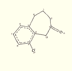 O=C1CCCc2cccc(Cl)c2C1